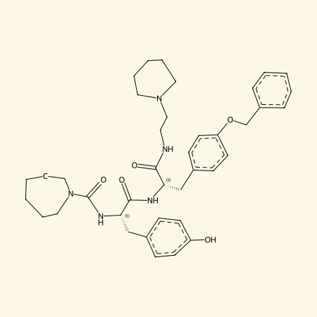 O=C(NCCN1CCCCC1)[C@H](Cc1ccc(OCc2ccccc2)cc1)NC(=O)[C@H](Cc1ccc(O)cc1)NC(=O)N1CCCCCC1